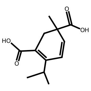 CC(C)C1=C(C(=O)O)CC(C)(C(=O)O)C=C1